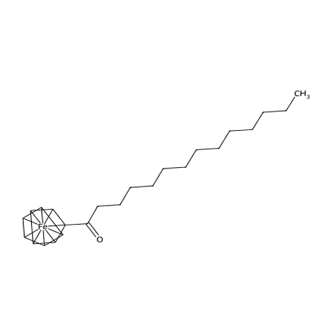 CCCCCCCCCCCCCC(=O)[C]12[CH]3[CH]4[CH]5[CH]1[Fe]45321678[CH]2[CH]1[CH]6[CH]7[CH]28